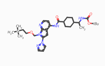 CC(NC(=O)OC(C)(C)C)C1CCC(C(=O)Nc2ccnc3c2cc(-n2cccn2)n3COCC[Si](C)(C)C)CC1